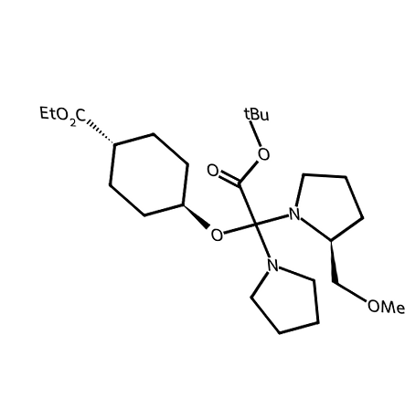 CCOC(=O)[C@H]1CC[C@H](OC(C(=O)OC(C)(C)C)(N2CCCC2)N2CCC[C@H]2COC)CC1